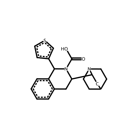 O=C(O)N1C(c2ccsc2)c2ccccc2CC1C1CC2CCN1CC2